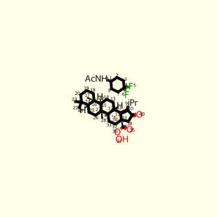 CC(=O)NC1CCC(F)(F)CC1.CC(C)C1=C2[C@H]3CC[C@@H]4[C@@]5(C)CCCC(C)(C)[C@@H]5CC[C@@]4(C)[C@]3(C)CC[C@@]2(C(=O)OO)CC1=O